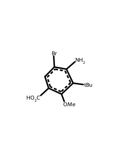 COc1c(C(=O)O)cc(Br)c(N)c1C(C)(C)C